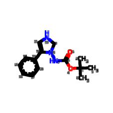 CC(C)(C)OC(=O)NN1CNC=C1c1ccccc1